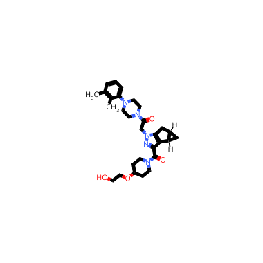 Cc1cccc(N2CCN(C(=O)Cn3nc(C(=O)N4CCC(OCCO)CC4)c4c3C[C@H]3C[C@@H]43)CC2)c1C